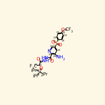 CC(C)[Si](OC(C(=O)NNC(=O)c1ncc(S(=O)(=O)c2ccc(OC(F)(F)F)cc2)cc1N)C(F)(F)F)(C(C)C)C(C)C